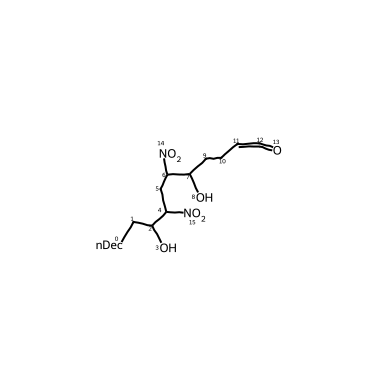 CCCCCCCCCCCC(O)C(CC(C(O)CCC=C=O)[N+](=O)[O-])[N+](=O)[O-]